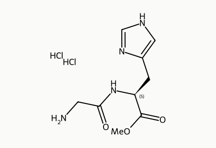 COC(=O)[C@H](Cc1c[nH]cn1)NC(=O)CN.Cl.Cl